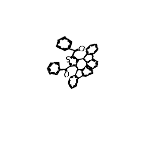 O=C(c1ccccc1)c1sc(C(=O)c2ccccc2)c(C2c3ccccc3-c3ccccc32)c1C1c2ccccc2-c2ccccc21